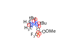 COc1ccc([C@@H](OS(=O)(=O)C(F)(F)F)c2ccc(CN(C(=O)OC(C)(C)C)/C(=N/C(=O)OC(C)(C)C)N3CN(C)C(=O)N(C)C3)cc2)cc1